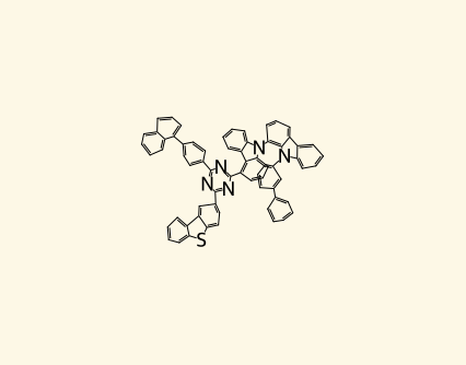 c1ccc(-c2cccc(-n3c4ccccc4c4cccc(-n5c6ccccc6c6c(-c7nc(-c8ccc(-c9cccc%10ccccc9%10)cc8)nc(-c8ccc9sc%10ccccc%10c9c8)n7)cccc65)c43)c2)cc1